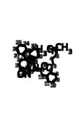 CN(C)CCCOc1ccccc1CC(=O)N1C[C@H]2[C@@H](C1)C(c1ccccc1)(c1ccccc1)CC[C@@H]2O